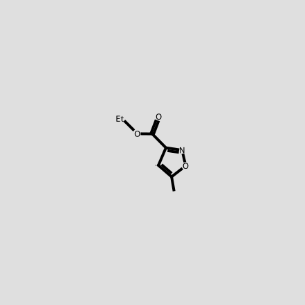 CCOC(=O)c1[c]c(C)on1